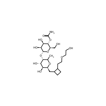 CC1O[C@@H](CC2CCC2CCOCCO)[C@@H](O)[C@H](O)[C@@H]1O[C@H]1O[C@H](CO)[C@@H](OC(N)=O)[C@H](O)[C@@H]1O